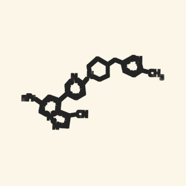 CCCc1cc(-c2ccc(N3CCC(Cc4ccc(C)nc4)CC3)nc2)c2c(C#N)cnn2c1